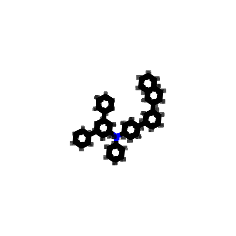 c1ccc(-c2cc(-c3ccccc3)cc(N(c3ccccc3)c3ccc(-c4cccc(-c5ccc6ccccc6c5)c4)cc3)c2)cc1